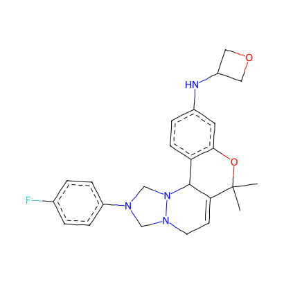 CC1(C)Oc2cc(NC3COC3)ccc2C2C1=CCN1CN(c3ccc(F)cc3)CN21